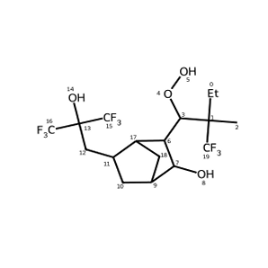 CCC(C)(C(OO)C1C(O)C2CC(CC(O)(C(F)(F)F)C(F)(F)F)C1C2)C(F)(F)F